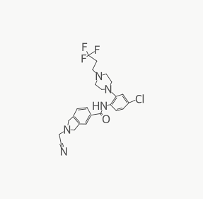 N#CCN1Cc2ccc(C(=O)Nc3ccc(Cl)cc3N3CCN(CCC(F)(F)F)CC3)cc2C1